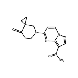 NC(=O)c1cnn2ccc(N3CCC(=O)C4(CC4)C3)nc12